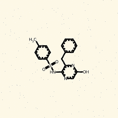 Cc1ccc(S(=O)(=O)Nc2ncc(O)nc2Cc2ccccc2)cc1